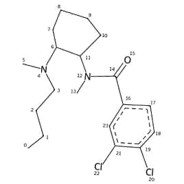 CCCCN(C)C1CCCCC1N(C)C(=O)c1ccc(Cl)c(Cl)c1